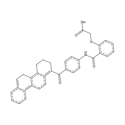 O=C(O)COc1ccccc1C(=O)Nc1ccc(C(=O)C2=c3ccc4c(c3CCC2)CC=c2ccccc2=4)cc1